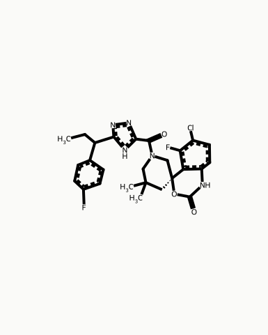 CCC(c1ccc(F)cc1)c1nnc(C(=O)N2CC(C)(C)C[C@@]3(C2)OC(=O)Nc2ccc(Cl)c(F)c23)[nH]1